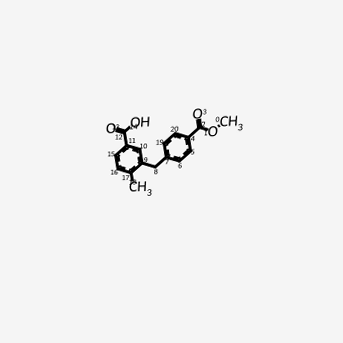 COC(=O)c1ccc(Cc2cc(C(=O)O)ccc2C)cc1